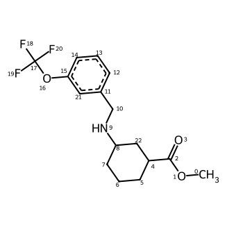 COC(=O)C1CCCC(NCc2cccc(OC(F)(F)F)c2)C1